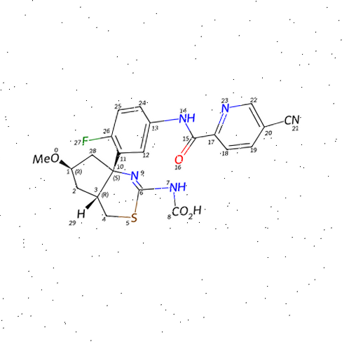 CO[C@@H]1C[C@H]2CSC(NC(=O)O)=N[C@@]2(c2cc(NC(=O)c3ccc(C#N)cn3)ccc2F)C1